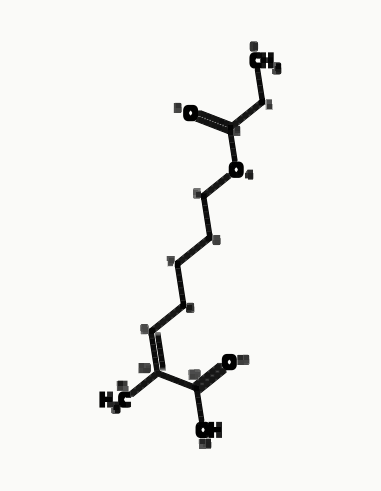 CCC(=O)OCCCCC=C(C)C(=O)O